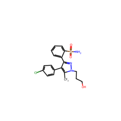 NS(=O)(=O)c1ccccc1-c1nn(CCCO)c(C(F)(F)F)c1-c1ccc(Cl)cc1